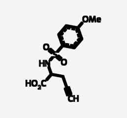 C#CCC(NS(=O)(=O)c1ccc(OC)cc1)C(=O)O